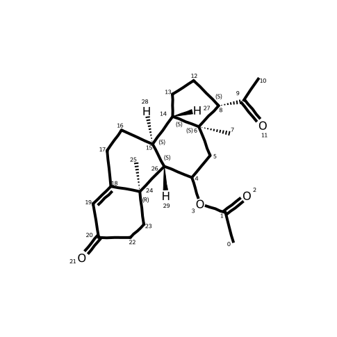 CC(=O)OC1C[C@]2(C)[C@@H](C(C)=O)CC[C@H]2[C@@H]2CCC3=CC(=O)CC[C@]3(C)[C@@H]12